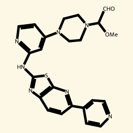 COC(C=O)N1CCN(c2ccnc(Nc3nc4ccc(-c5ccncc5)nc4s3)c2)CC1